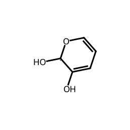 O[C]1OC=CC=C1O